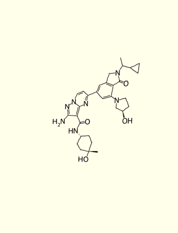 CC(C1CC1)N1Cc2cc(-c3ccn4nc(N)c(C(=O)N[C@H]5CC[C@@](C)(O)CC5)c4n3)cc(N3CC[C@@H](O)C3)c2C1=O